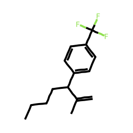 C=C(C)C(CCCC)c1ccc(C(F)(F)F)cc1